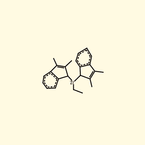 C[CH2][Zr]([CH]1C(C)=C(C)c2ccccc21)[CH]1C(C)=C(C)c2ccccc21